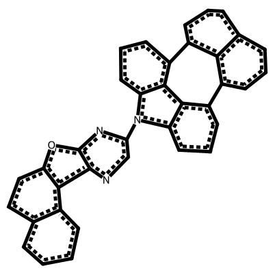 c1cc2c3c(cccc3c1)-c1cccc3c1c1c-2cccc1n3-c1cnc2c(n1)oc1ccc3ccccc3c12